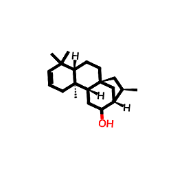 C[C@@H]1C[C@]23CC[C@H]4C(C)(C)C=CC[C@]4(C)[C@H]2CC(O)[C@@H]1C3